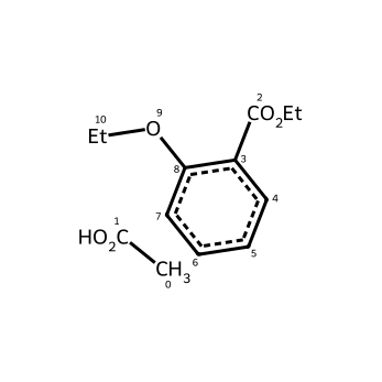 CC(=O)O.CCOC(=O)c1ccccc1OCC